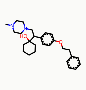 CN1CCN(CC(c2ccc(OCCc3ccccc3)cc2)C2(O)CCCCC2)CC1